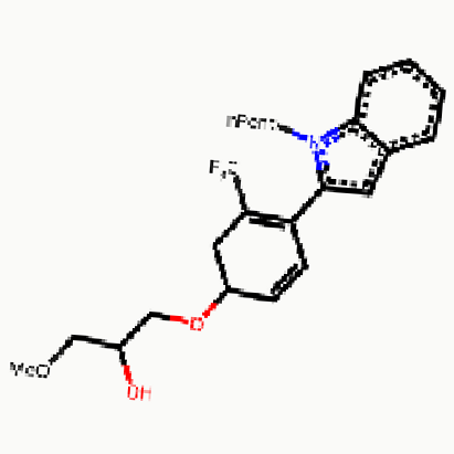 CCCCCn1c(C2=C(C(F)(F)F)CC(OCC(O)COC)C=C2)cc2ccccc21